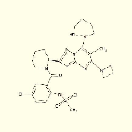 Cc1c(N2CCC2)nc2cc([C@@H]3CCCCN3C(=O)c3cc(Cl)ccc3NS(C)(=O)=O)nn2c1N1CCCCN1